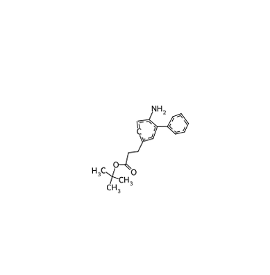 CC(C)(C)OC(=O)CCc1ccc(N)c(-c2ccccc2)c1